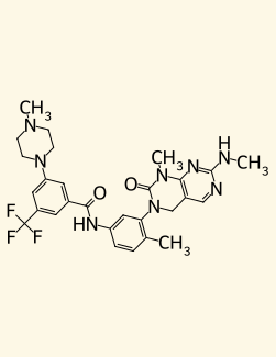 CNc1ncc2c(n1)N(C)C(=O)N(c1cc(NC(=O)c3cc(N4CCN(C)CC4)cc(C(F)(F)F)c3)ccc1C)C2